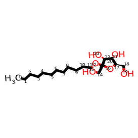 CCCCCCCCCCCCOC1(CO)O[C@H](CO)[C@@H](O)[C@@H]1O